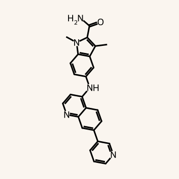 Cc1c(C(N)=O)n(C)c2ccc(Nc3ccnc4cc(-c5cccnc5)ccc34)cc12